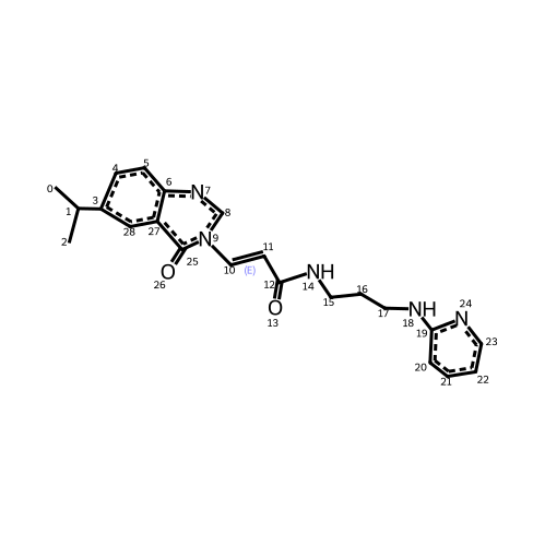 CC(C)c1ccc2ncn(/C=C/C(=O)NCCCNc3ccccn3)c(=O)c2c1